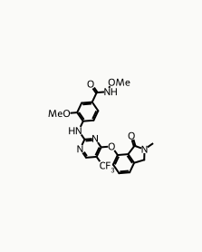 CONC(=O)c1ccc(Nc2ncc(C(F)(F)F)c(Oc3cccc4c3C(=O)N(C)C4)n2)c(OC)c1